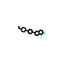 C=CC1CCC(c2ccc(-c3ccc4c(F)c(F)ccc4c3)cc2)CC1